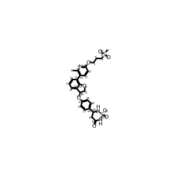 Cc1nc(OCCCS(C)(=O)=O)ccc1-c1cccc2c1OC[C@H]2Oc1ccc(C2CC(=O)NS(=O)(=O)N2)cc1